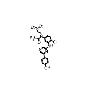 CCN(CC)CCN(C(=O)C(F)(F)F)c1ccc(Cl)c(Nc2cncc(-c3ccc(O)cc3)n2)c1